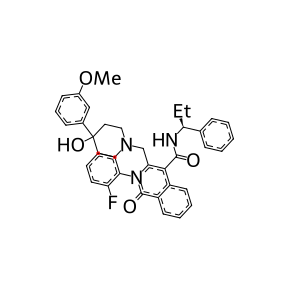 CC[C@H](NC(=O)c1c(CN2CCC(O)(c3cccc(OC)c3)CC2)n(-c2ccccc2F)c(=O)c2ccccc12)c1ccccc1